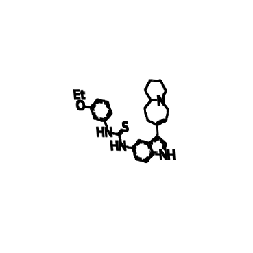 CCOc1cccc(NC(=S)Nc2ccc3[nH]cc(C4=CCN5CCCCC5CC4)c3c2)c1